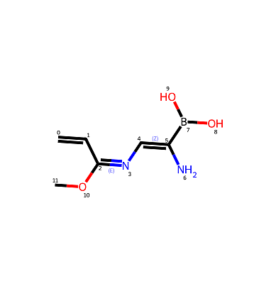 C=C/C(=N\C=C(/N)B(O)O)OC